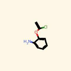 C=C(Cl)Oc1ccccc1N